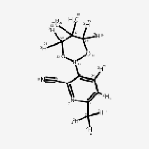 [2H]c1c(C([2H])([2H])[2H])nc(C#N)c(B2OC([2H])([2H])C(C)(C)C([2H])([2H])O2)c1[2H]